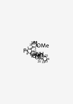 COc1cc(-c2cc(F)cc(C(C)C)c2CC(=O)NS(=O)(=O)C(C)c2ccccc2)ccn1